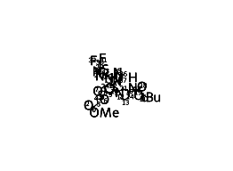 COC(=O)CCS(=O)(=O)c1cc(N2CCCC(NC(=O)OC(C)(C)C)C2)c2c(c1)n(-c1nnc(C(F)F)s1)c1nccn21